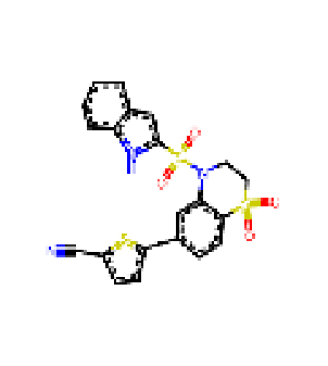 N#Cc1ccc(-c2ccc3c(c2)N(S(=O)(=O)c2cc4ccccc4[nH]2)CCS3(=O)=O)s1